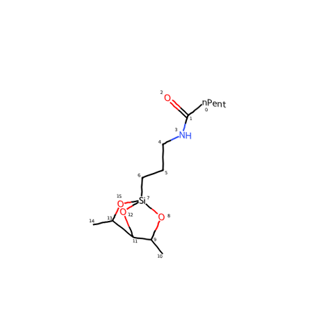 CCCCCC(=O)NCCC[Si]12OC(C)C(O1)C(C)O2